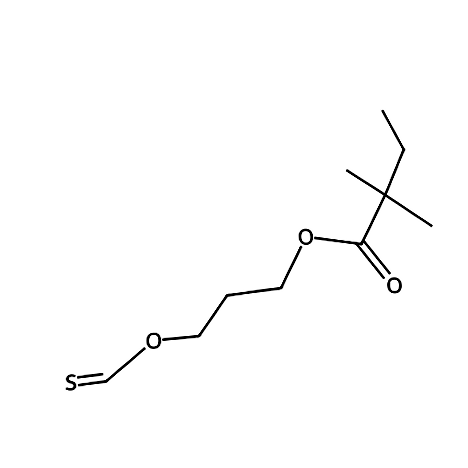 CCC(C)(C)C(=O)OCCCOC=S